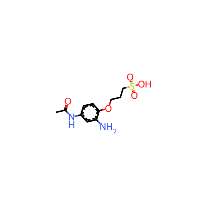 CC(=O)Nc1ccc(OCCCS(=O)(=O)O)c(N)c1